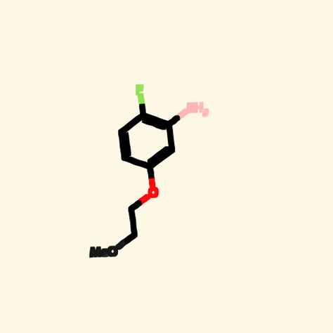 Bc1cc(OCCOC)ccc1F